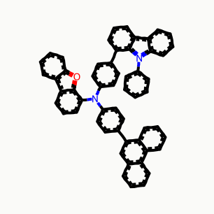 c1ccc(-n2c3ccccc3c3cccc(-c4ccc(N(c5ccc(-c6cc7ccccc7c7ccccc67)cc5)c5cccc6c5oc5ccccc56)cc4)c32)cc1